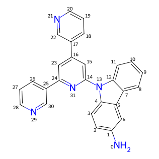 Nc1ccc2c(c1)c1ccccc1n2-c1cc(-c2cccnc2)cc(-c2cccnc2)n1